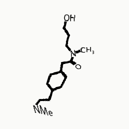 CNCCC1CCC(CC(=O)N(C)CCCO)CC1